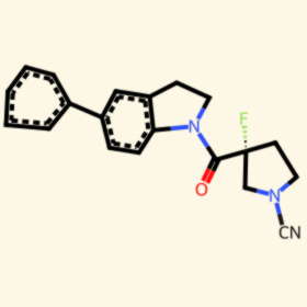 N#CN1CC[C@](F)(C(=O)N2CCc3cc(-c4ccccc4)ccc32)C1